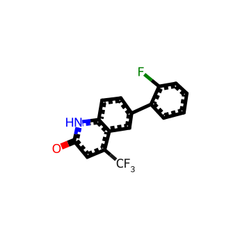 O=c1cc(C(F)(F)F)c2cc(-c3ccccc3F)ccc2[nH]1